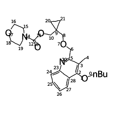 CCCCOc1c(C)c(COCC2(COC(=O)N3CCOCC3)CC2)nc2ccccc12